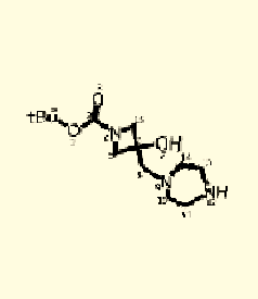 CC(C)(C)OC(=O)N1CC(O)(CN2CCNCC2)C1